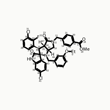 CCOc1cccc(CN2[C@H]3CN(Cc4ccc(C(=O)OC)cc4)C(=O)[C@H]3[C@H](c3cccc(Cl)c3F)[C@]23C(=O)Nc2cc(Cl)ccc23)c1